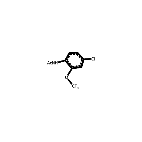 CC(=O)Nc1ccc(Cl)cc1OC(F)(F)F